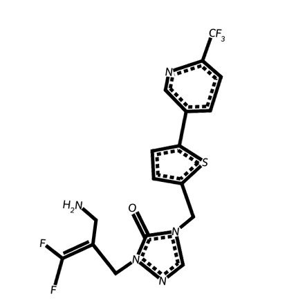 NCC(Cn1ncn(Cc2ccc(-c3ccc(C(F)(F)F)nc3)s2)c1=O)=C(F)F